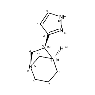 c1cc([C@@H]2C[N@]3CCC[C@H]2C3)n[nH]1